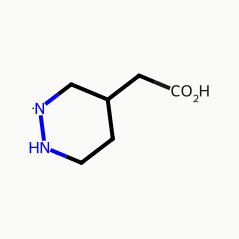 O=C(O)CC1CCN[N]C1